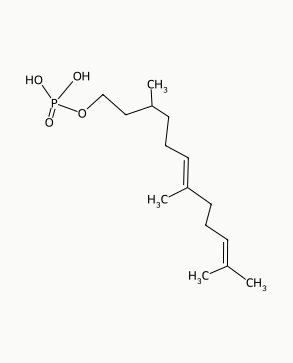 CC(C)=CCC/C(C)=C/CCC(C)CCOP(=O)(O)O